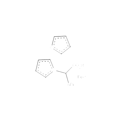 CCCC(C(=O)O)[c-]1cccc1.[Fe+2].c1cc[cH-]c1